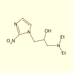 CCN(CC)CC(O)Cn1ccnc1[N+](=O)[O-]